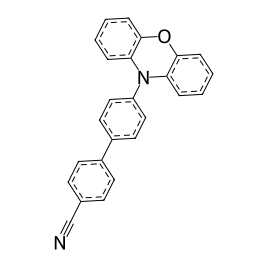 N#Cc1ccc(-c2ccc(N3c4ccccc4Oc4ccccc43)cc2)cc1